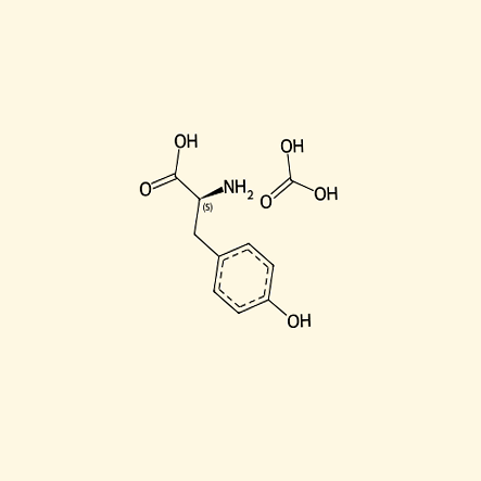 N[C@@H](Cc1ccc(O)cc1)C(=O)O.O=C(O)O